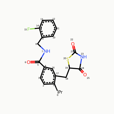 CC(C)c1ccc(C(=O)NCc2ccccc2F)cc1CC1SC(=O)NC1=O